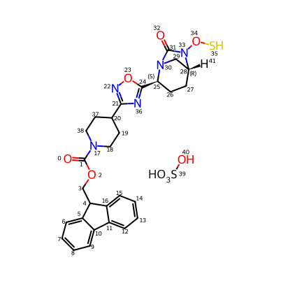 O=C(OCC1c2ccccc2-c2ccccc21)N1CCC(c2noc([C@@H]3CC[C@@H]4CN3C(=O)N4OS)n2)CC1.O=S(=O)(O)O